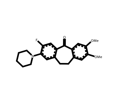 COc1cc2c(cc1OC)C(=O)c1cc(F)c(N3CCCCC3)cc1CC2